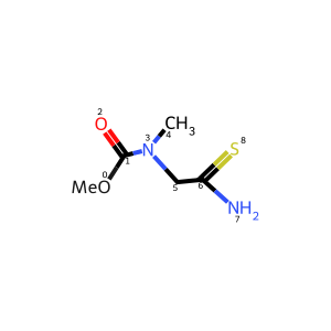 COC(=O)N(C)CC(N)=S